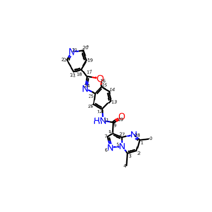 Cc1cc(C)n2ncc(C(=O)Nc3ccc4oc(-c5ccncc5)nc4c3)c2n1